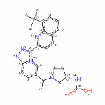 CC(c1ccc2nnc(-c3ccc4cccc(C(C)(C)C)c4n3)n2c1)N1CC[C@H](NC(=O)O)C1